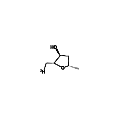 [2H]C[C@H]1O[C@@H](C)C[C@@H]1O